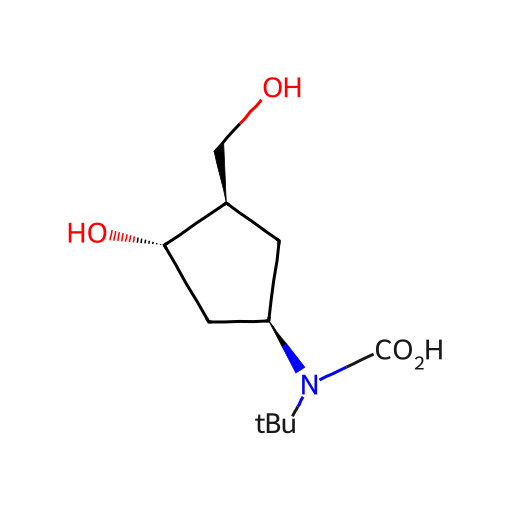 CC(C)(C)N(C(=O)O)[C@@H]1C[C@H](CO)[C@@H](O)C1